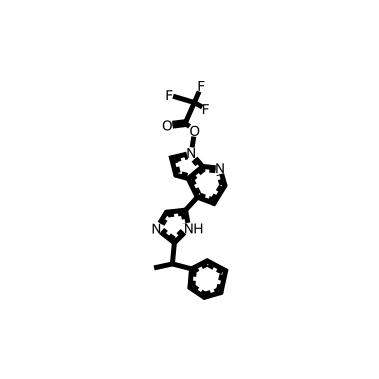 CC(c1ccccc1)c1ncc(-c2ccnc3c2ccn3OC(=O)C(F)(F)F)[nH]1